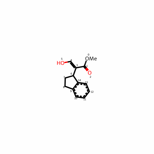 COC(=O)/C(=C/O)C1CCc2ccccc21